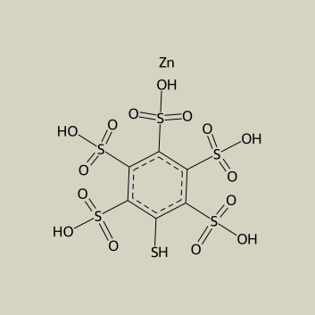 O=S(=O)(O)c1c(S)c(S(=O)(=O)O)c(S(=O)(=O)O)c(S(=O)(=O)O)c1S(=O)(=O)O.[Zn]